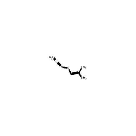 C=C=NSC=C(C)C